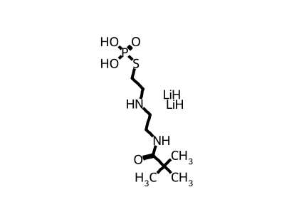 CC(C)(C)C(=O)NCCNCCSP(=O)(O)O.[LiH].[LiH]